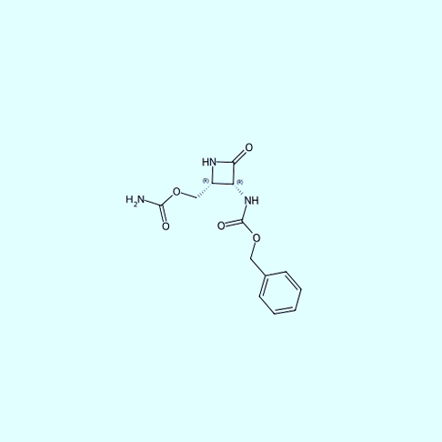 NC(=O)OC[C@@H]1NC(=O)[C@@H]1NC(=O)OCc1ccccc1